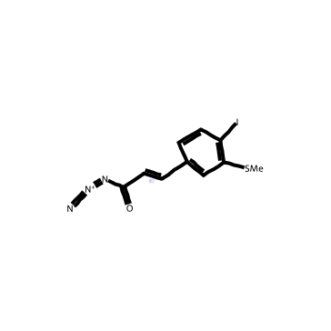 CSc1cc(/C=C/C(=O)N=[N+]=[N-])ccc1I